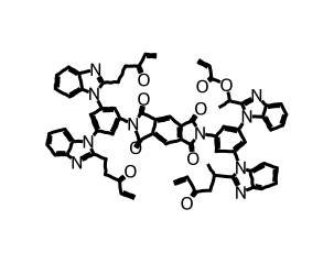 C=CC(=O)CCc1nc2ccccc2n1-c1cc(-n2c(=O)c3cc4c(=O)n(-c5cc(-n6c(C(C)CC(=O)C=C)nc7ccccc76)cc(-n6c(C(C)OC(=O)C=C)nc7ccccc76)c5)c(=O)c4cc3c2=O)cc(-n2c(CCC(=O)C=C)nc3ccccc32)c1